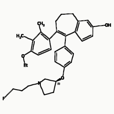 CCOc1ccc(C2=C(c3ccc(O[C@H]4CCN(CCCF)C4)cc3)c3ccc(O)cc3CCC2)c(C)c1C